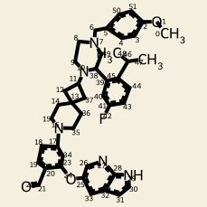 COc1ccc(CN2CCN(C3CC4(CCN(c5ccc(C=O)c(Oc6cnc7[nH]ccc7c6)c5)CC4)C3)C(c3cc(F)ccc3C(C)C)C2)cc1